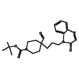 CC(C)(C)OC(=O)N1CCC(C=O)(CCCn2c(=O)cnc3ccccc32)CC1